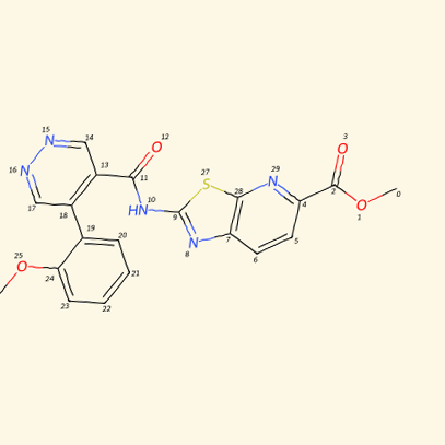 COC(=O)c1ccc2nc(NC(=O)c3cnncc3-c3ccccc3OC)sc2n1